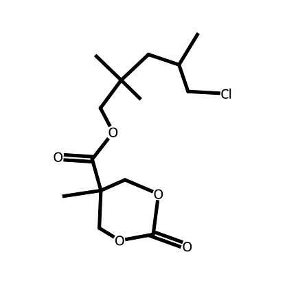 CC(CCl)CC(C)(C)COC(=O)C1(C)COC(=O)OC1